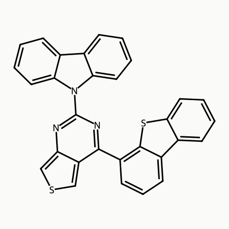 c1ccc2c(c1)sc1c(-c3nc(-n4c5ccccc5c5ccccc54)nc4cscc34)cccc12